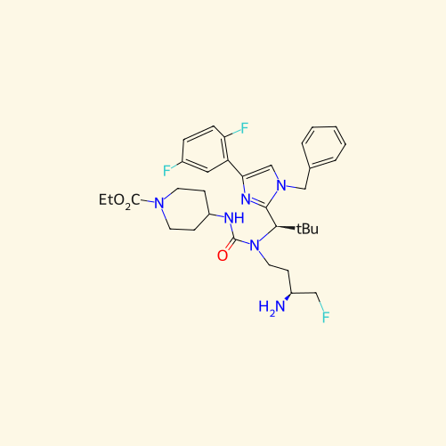 CCOC(=O)N1CCC(NC(=O)N(CC[C@H](N)CF)[C@@H](c2nc(-c3cc(F)ccc3F)cn2Cc2ccccc2)C(C)(C)C)CC1